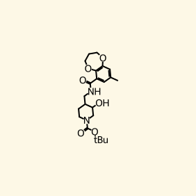 Cc1cc2c(c(C(=O)NCC3CCN(C(=O)OC(C)(C)C)CC3O)c1)OCCCO2